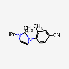 Cc1cc(C#N)ccc1N1C=CN(C(C)C)[C@H]1C